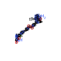 Cn1nc(N2CCC(=O)NC2=O)c2cc(F)c(N3CCN(CCC4CCN(C(=O)COC(=O)N5CCC(c6cnc(-c7c(-c8nn(C(C)(C)C)c9ncnc(N)c89)noc7C7CC7)nc6)CC5)CC4)CC3)cc21